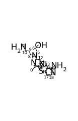 Cc1nc(N(CCO)CCCN)cnc1Sc1ccnc(N)c1Cl